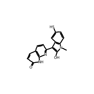 Cn1c(O)c(-c2ccc3ccc(=O)[nH]c3n2)c2cc(S)ccc21